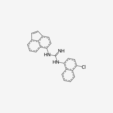 N=C(Nc1ccc(Cl)c2ccccc12)Nc1ccc2c3c(cccc13)C=C2